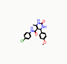 COc1ccc(C2NC(=O)NC(C)=C2C(=O)Nc2ccc(Cl)cc2)cc1